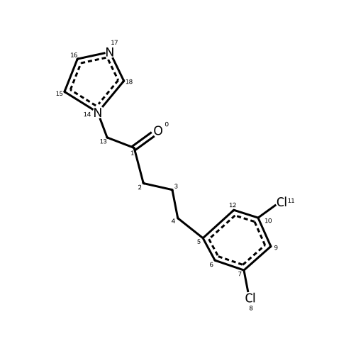 O=C(CCCc1cc(Cl)cc(Cl)c1)Cn1ccnc1